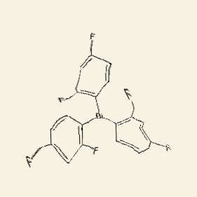 Fc1cc[c]([Bi]([c]2ccc(F)cc2F)[c]2ccc(F)cc2F)c(F)c1